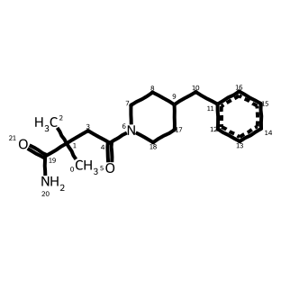 CC(C)(CC(=O)N1CCC(Cc2ccccc2)CC1)C(N)=O